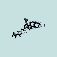 C[C@@]1(O)CC[C@@H]2C3CC[C@@]4(C)[C@H]([C@@H]3CC[C@@H]2C1)[C@H](C1CC1)C[C@@H]4C(=O)Cn1ccc(C(F)(F)F)n1